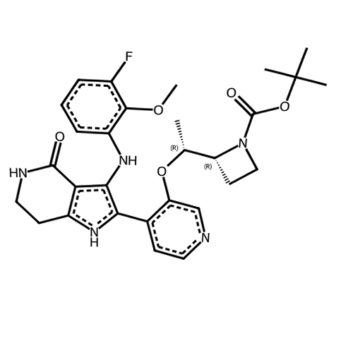 COc1c(F)cccc1Nc1c(-c2ccncc2O[C@H](C)[C@H]2CCN2C(=O)OC(C)(C)C)[nH]c2c1C(=O)NCC2